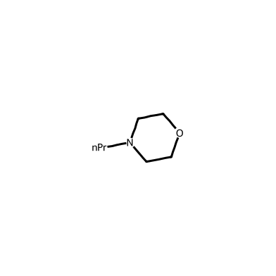 C[CH]CN1CCOCC1